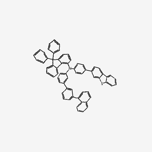 c1ccc(C2(c3ccccc3)c3ccccc3-c3c(N(c4ccc(-c5ccc6c(c5)sc5ccccc56)cc4)c4cccc(-c5cccc(-c6cccc7ccccc67)c5)c4)cccc32)cc1